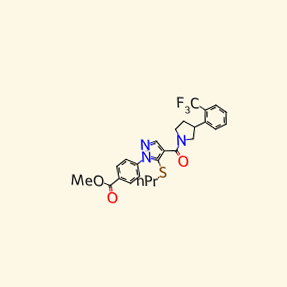 CCCSc1c(C(=O)N2CCC(c3ccccc3C(F)(F)F)C2)cnn1-c1ccc(C(=O)OC)cc1